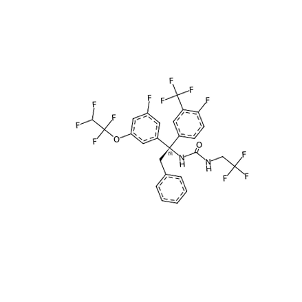 O=C(NCC(F)(F)F)N[C@](Cc1ccccc1)(c1cc(F)cc(OC(F)(F)C(F)F)c1)c1ccc(F)c(C(F)(F)F)c1